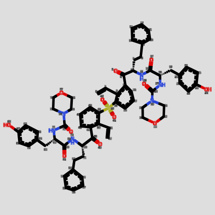 C=Cc1c(C(=O)[C@H](CCc2ccccc2)NC(=O)[C@H](Cc2ccc(O)cc2)NC(=O)N2CCOCC2)cccc1S(=O)(=O)c1cccc(C(=O)[C@H](CCc2ccccc2)NC(=O)[C@H](Cc2ccc(O)cc2)NC(=O)N2CCOCC2)c1C=C